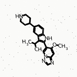 COc1cc2ncnn2cc1-c1[nH]c2ccc(C3CCNCC3)cc2c1C(C)C